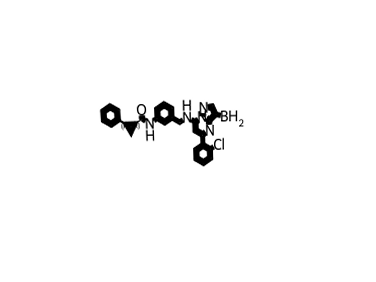 Bc1cnn2c(NCc3cccc(NC(=O)[C@@H]4C[C@H]4c4ccccc4)c3)cc(-c3ccccc3Cl)nc12